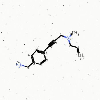 C=CCN(C)CC#Cc1ccc(CN)cc1